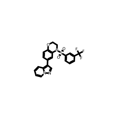 O=S(=O)(c1cccc(C(F)(F)F)c1)N1CCOc2ccc(-c3cnn4ccccc34)cc21